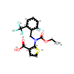 CCOC(=O)N(Cc1c(F)cccc1C(F)(F)F)c1sccc1C(=O)O